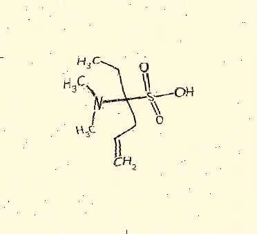 C=CCC(CC)(N(C)C)S(=O)(=O)O